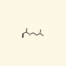 C=CC(C)OCCN(C)C